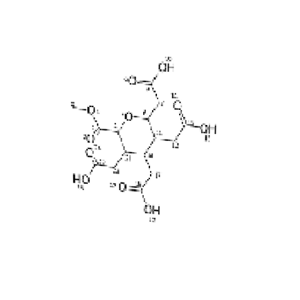 COC(=O)C1OC(CC(=O)O)C(CC(=O)O)C(CC(=O)O)C1CC(=O)O